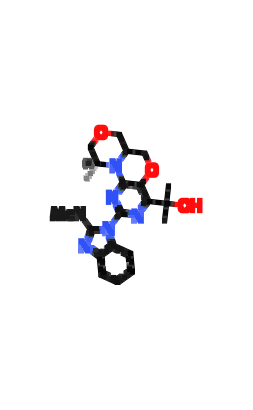 CNc1nc2ccccc2n1-c1nc2c(c(C(C)(C)O)n1)OCC1COC[C@@H](C)N21